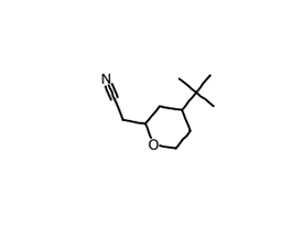 CC(C)(C)C1CCOC(CC#N)C1